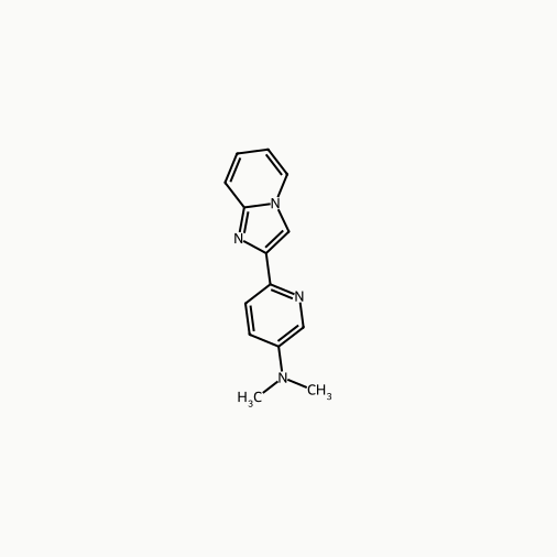 CN(C)c1ccc(-c2cn3ccccc3n2)nc1